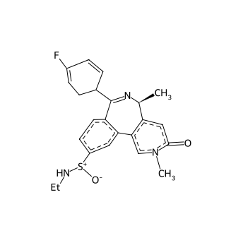 CCN[S+]([O-])c1ccc2c(c1)-c1cn(C)c(=O)cc1[C@H](C)N=C2C1C=CC(F)=CC1